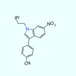 CC(C)CCn1cc(-c2ccc(C#N)cc2)c2ccc([N+](=O)[O-])cc21